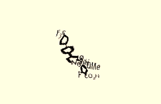 COc1cc(C(=O)O)c(F)cc1NS(=O)(=O)c1cc(-c2ccc([C@H]3CC[C@H](C(F)(F)F)CC3)cc2)ccn1